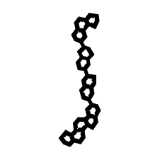 C1=CC2C=C(c3ccc4ccc5ccccc5c4c3)C=CC2C=C1c1ccc2cc(-c3ccc4ccc5c(ccc6c7ccccc7ccc65)c4c3)ccc2c1